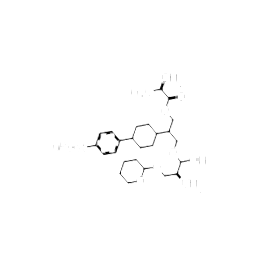 C=C(C)C(=O)OCC(COC(O)C(=C)COC1CCCCO1)C1CCC(c2ccc(CCCCC)cc2)CC1